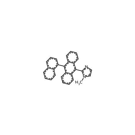 Cn1ccnc1-c1c2ccccc2c(-c2cccc3ccccc23)c2ccccc12